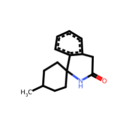 CC1CCC2(CC1)NC(=O)Cc1ccccc12